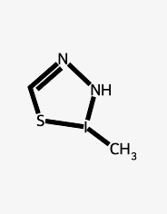 CI1NN=CS1